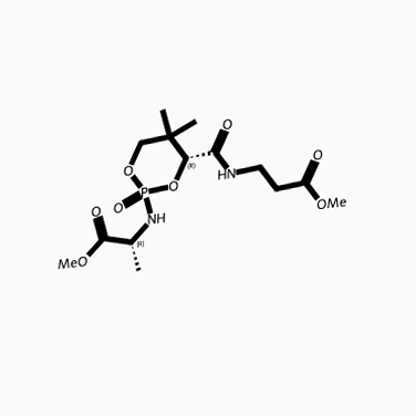 COC(=O)CCNC(=O)[C@@H]1OP(=O)(N[C@H](C)C(=O)OC)OCC1(C)C